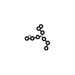 c1ccc(-c2cccc(-c3ccc(N(c4ccc(-c5ccc6c(c5)oc5ccccc56)cc4)c4cccc(-c5cccc6ccccc56)c4)cc3)c2)cc1